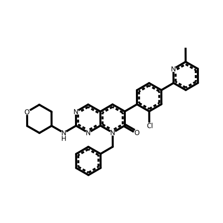 Cc1cccc(-c2ccc(-c3cc4cnc(NC5CCOCC5)nc4n(Cc4ccccc4)c3=O)c(Cl)c2)n1